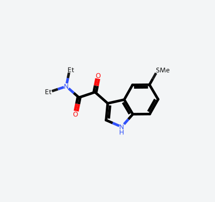 CCN(CC)C(=O)C(=O)c1c[nH]c2ccc(SC)cc12